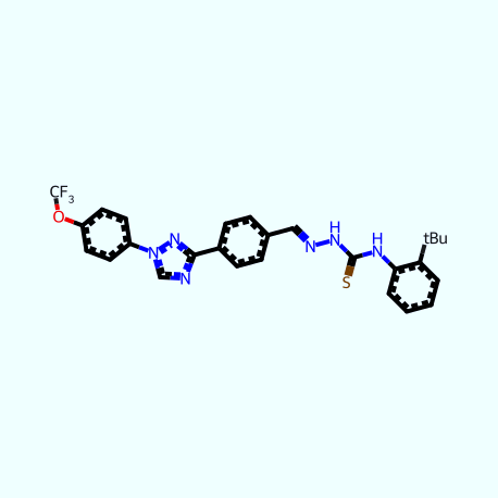 CC(C)(C)c1ccccc1NC(=S)N/N=C/c1ccc(-c2ncn(-c3ccc(OC(F)(F)F)cc3)n2)cc1